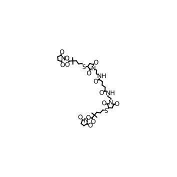 CC(C)(CCCSC1CC(=O)N(CCNC(=O)CCCC(=O)NCCN2C(=O)CC(SCCCC(C)(C)C(=O)ON3C(=O)CCC3=O)C2=O)C1=O)C(=O)ON1C(=O)CCC1=O